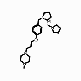 CN1CCN(CCCOc2ccc(CN3CCC[C@@H]3CN3CCCC3)cc2)CC1